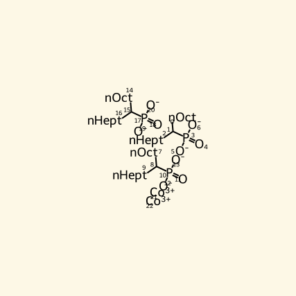 CCCCCCCCC(CCCCCCC)P(=O)([O-])[O-].CCCCCCCCC(CCCCCCC)P(=O)([O-])[O-].CCCCCCCCC(CCCCCCC)P(=O)([O-])[O-].[Co+3].[Co+3]